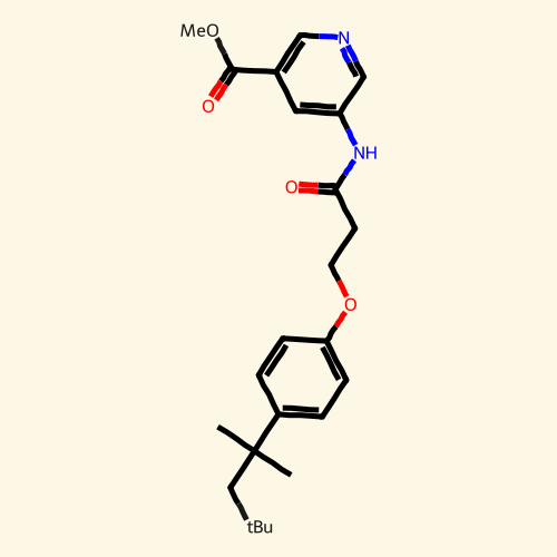 COC(=O)c1cncc(NC(=O)CCOc2ccc(C(C)(C)CC(C)(C)C)cc2)c1